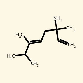 C=CC(C)(N)C/C=C(\C)C(C)C